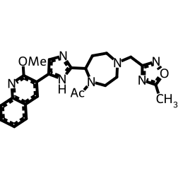 COc1nc2ccccc2cc1-c1cnc(C2CCN(Cc3noc(C)n3)CCN2C(C)=O)[nH]1